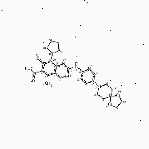 CC(=O)c1c(C)c2cnc(Nc3ccc(N4CCC5(CC4)OCCO5)cn3)nc2n(C2CCCC2)c1=O